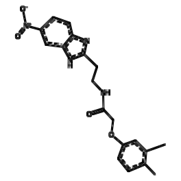 Cc1ccc(OCC(=O)NCCc2nc3ccc([N+](=O)[O-])cc3[nH]2)cc1C